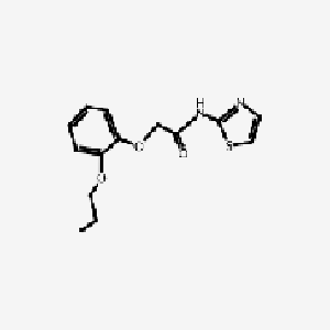 CCCOc1ccccc1OCC(=O)Nc1nccs1